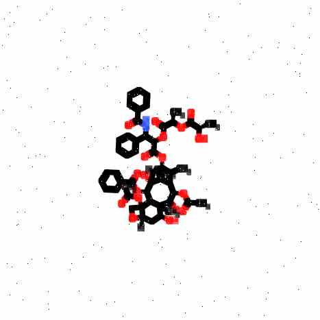 CC(=O)O[C@H]1C(=O)[C@@]2(C)C([C@H](OC(=O)c3ccccc3)[C@]3(O)C[C@H](OC(=O)[C@H](OC(=O)[C@H](C)OC(=O)[C@H](C)O)C(NC(=O)c4ccccc4)c4ccccc4)C(C)=C1C3(C)C)[C@]1(OC(C)=O)CO[C@@H]1C[C@@H]2O